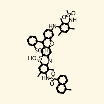 Cc1cc(C)c(NS(=O)(=O)c2cccc3c(C)cccc23)c(C)c1/N=c1/cc2oc3cc(Nc4c(C)cc(C)c(NS(C)(=O)=O)c4C)ccc3c(-c3ccccc3S(=O)(=O)O)c-2cc1S(=O)(=O)O